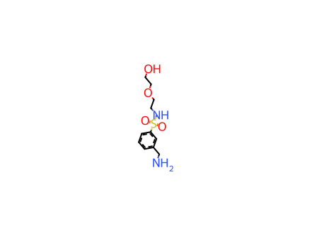 NCc1cccc(S(=O)(=O)NCCOCCO)c1